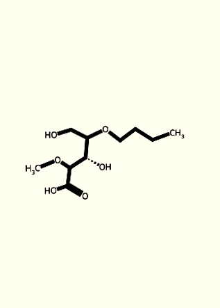 CCCCOC(CO)[C@H](O)C(OC)C(=O)O